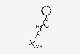 CNC(C)(C)CCOCCNC(=O)COC1/C=C\CCCCC1